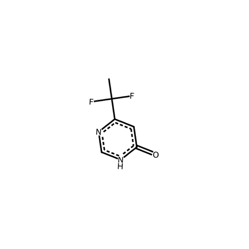 CC(F)(F)c1cc(=O)[nH]cn1